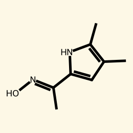 C/C(=N\O)c1cc(C)c(C)[nH]1